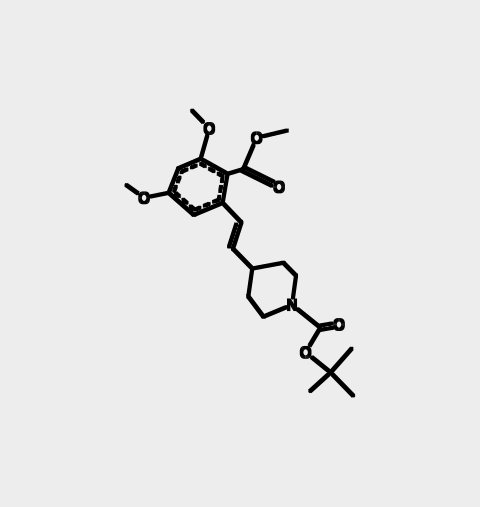 COC(=O)c1c(C=CC2CCN(C(=O)OC(C)(C)C)CC2)cc(OC)cc1OC